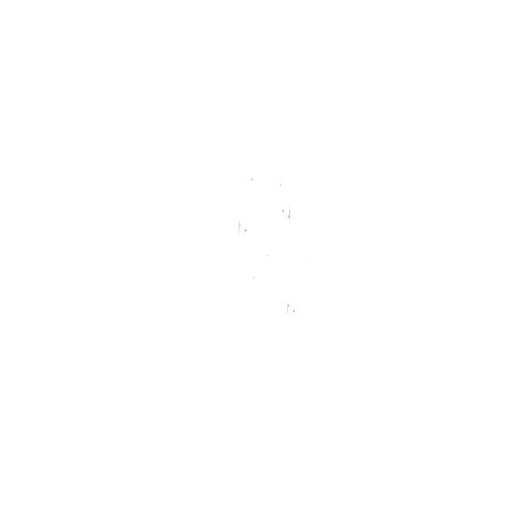 CC(C)c1ccnc(C2CCN(C)CC2)n1